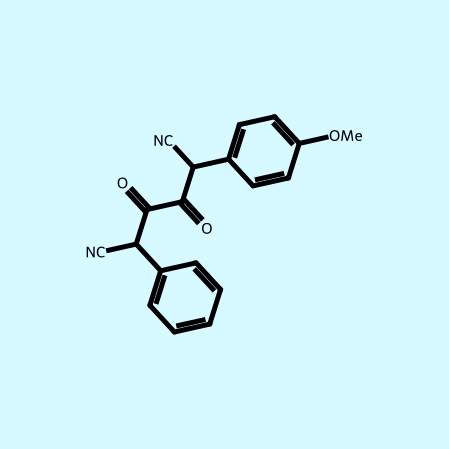 COc1ccc(C(C#N)C(=O)C(=O)C(C#N)c2ccccc2)cc1